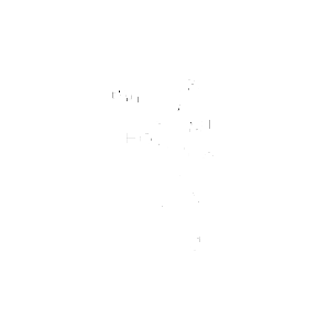 CC[C@H](C)C(NS(=O)(=O)c1ccc(Cl)s1)[C@H](O)C(C)(C)C